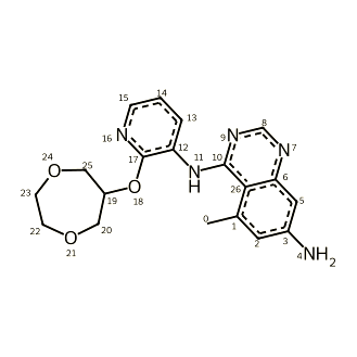 Cc1cc(N)cc2ncnc(Nc3cccnc3OC3COCCOC3)c12